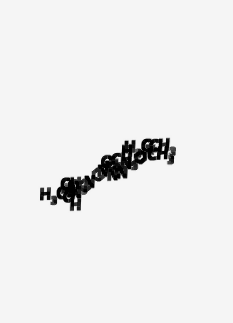 Cc1c(NCc2ccc(C(C)(C)C)cc2)ncnc1C(=O)N1CCC(N2CCC(NS(=O)(=O)C(C)C)CC2)CC1